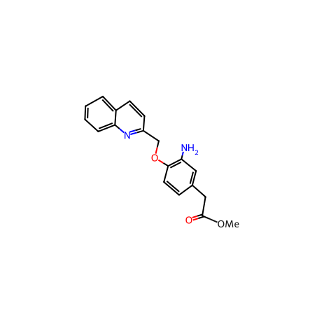 COC(=O)Cc1ccc(OCc2ccc3ccccc3n2)c(N)c1